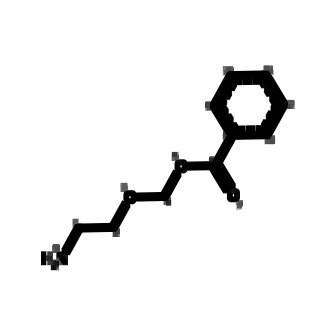 NCCOCOC(=O)c1ccccc1